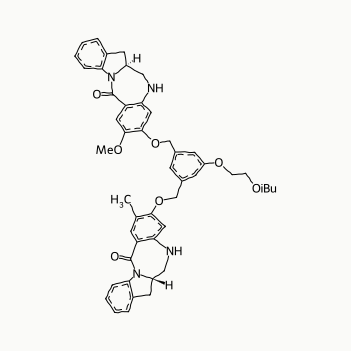 COc1cc2c(cc1OCc1cc(COc3cc4c(cc3C)C(=O)N3c5ccccc5C[C@H]3CN4)cc(OCCOCC(C)C)c1)NC[C@@H]1Cc3ccccc3N1C2=O